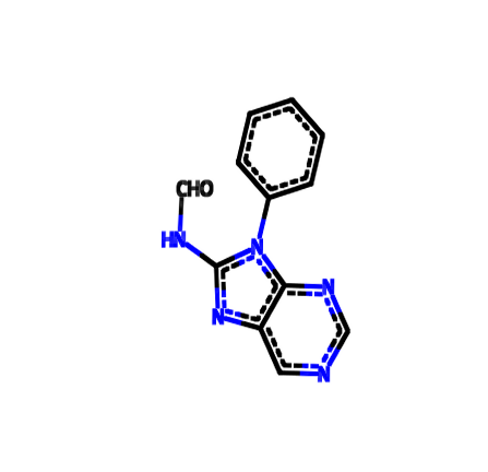 O=CNc1nc2cncnc2n1-c1ccccc1